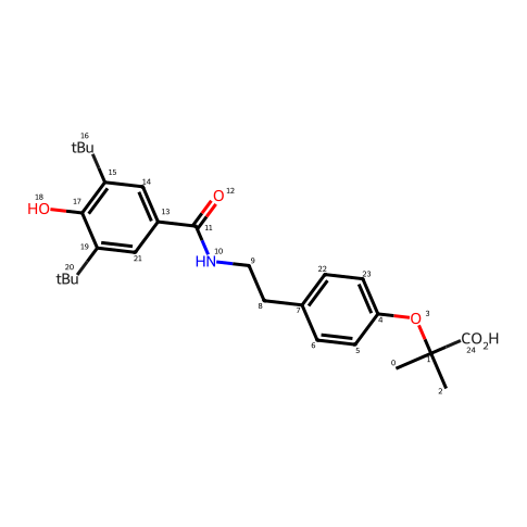 CC(C)(Oc1ccc(CCNC(=O)c2cc(C(C)(C)C)c(O)c(C(C)(C)C)c2)cc1)C(=O)O